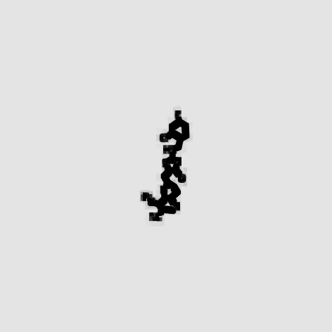 CC(C)Oc1c(C#N)cnc2ccc(/C=C3/SC(NCc4ccc(F)cc4Cl)=NC3=O)nc12